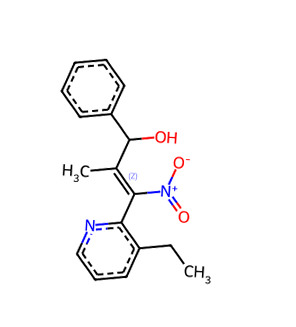 CCc1cccnc1/C(=C(\C)C(O)c1ccccc1)[N+](=O)[O-]